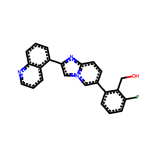 OCc1c(F)cccc1-c1ccc2nc(-c3cccc4ncccc34)cn2c1